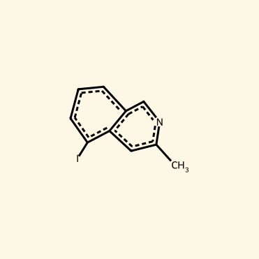 Cc1cc2c(I)cccc2cn1